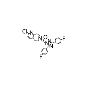 O=C(Cn1nc(-c2ccc(F)cc2)nc1-c1ccc(F)cc1)N1CCc2ccc(Cl)nc2CC1